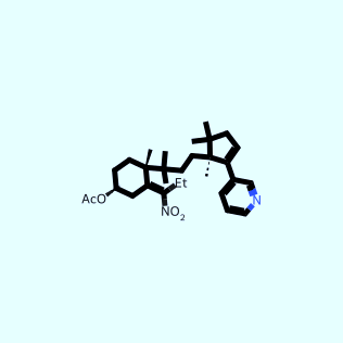 CC/C(=C1/C[C@@H](OC(C)=O)CC[C@]1(C)C(C)(C)CC[C@]1(C)C(c2cccnc2)=CCC1(C)C)[N+](=O)[O-]